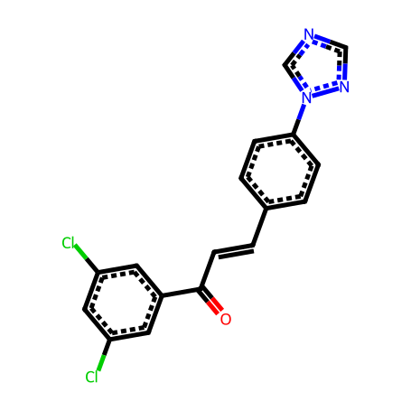 O=C(C=Cc1ccc(-n2cncn2)cc1)c1cc(Cl)cc(Cl)c1